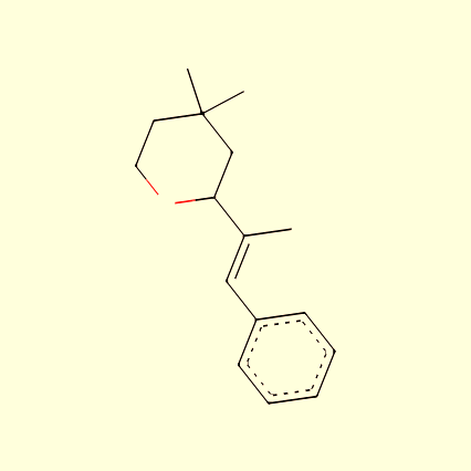 C/C(=C\c1ccccc1)C1CC(C)(C)CCO1